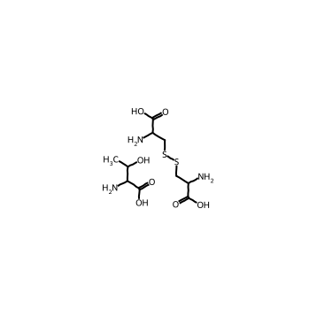 CC(O)C(N)C(=O)O.NC(CSSCC(N)C(=O)O)C(=O)O